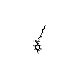 CCCCOCCOC(=O)c1ccc(C)cc1